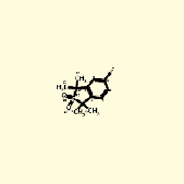 CC1(C)c2ccc(I)cc2C(C)(C)S1(=O)=O